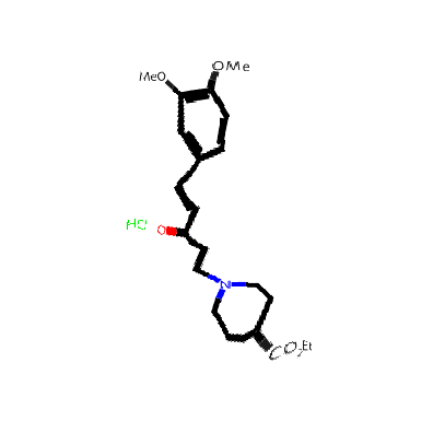 CCOC(=O)C1CCN(CCC(=O)C=Cc2ccc(OC)c(OC)c2)CC1.Cl